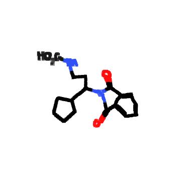 O=C(O)NCCC(C1CCCC1)N1C(=O)c2ccccc2C1=O